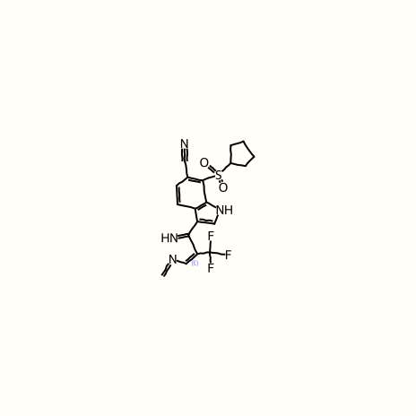 C=N/C=C(\C(=N)c1c[nH]c2c(S(=O)(=O)C3CCCC3)c(C#N)ccc12)C(F)(F)F